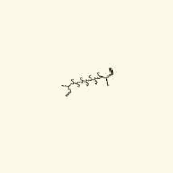 C=CC(C)SSSSSSSC(C)C=C